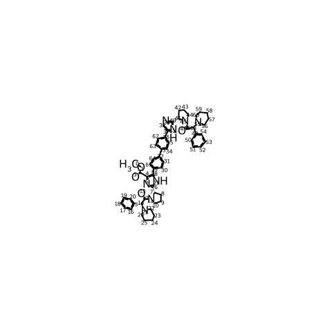 COC(=O)c1nc([C@@H]2CCCN2C(=O)[C@@H](c2ccccc2)N2CCCCC2)[nH]c1-c1ccc(-c2ccc(-c3cnc([C@@H]4CCCN4C(=O)C(c4ccccc4)N4CCCCC4)[nH]3)cc2)cc1